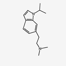 CC(C)n1ccc2ccc(CCN(C)C)cc21